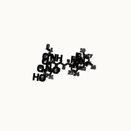 C=CC(=O)NC(CCCCC1=[N+]2C(=Cc3c(C)cc(C)n3[B-]2(F)F)C=C1)C(=O)N1C(=O)CC(O)C1=O